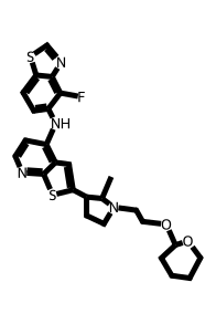 CC1C(c2cc3c(Nc4ccc5scnc5c4F)ccnc3s2)CCN1CCOC1CCCCO1